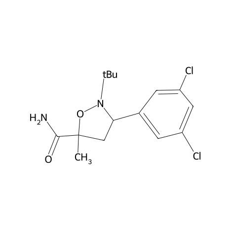 CC1(C(N)=O)CC(c2cc(Cl)cc(Cl)c2)N(C(C)(C)C)O1